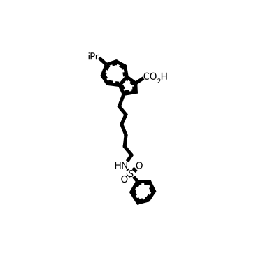 CC(C)c1ccc2c(CCCCCCNS(=O)(=O)c3ccccc3)cc(C(=O)O)c-2cc1